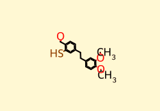 COc1ccc(CCc2ccc(C=O)c(S)c2)cc1OC